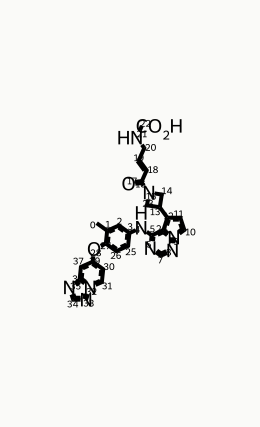 Cc1cc(Nc2ncnn3ccc(C4CN(C(=O)/C=C/CNC(=O)O)C4)c23)ccc1Oc1ccn2ncnc2c1